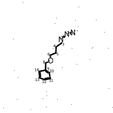 [N-]=[N+]=NCCCCOCc1ccccc1